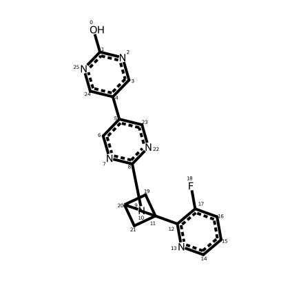 Oc1ncc(-c2cnc(N3CC4(c5ncccc5F)CC3C4)nc2)cn1